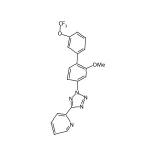 COc1cc(-n2nnc(-c3ccccn3)n2)ccc1-c1cccc(OC(F)(F)F)c1